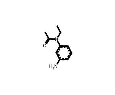 CCN(C(C)=O)c1cccc(N)c1